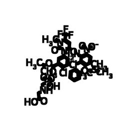 CC(C)OC(=O)c1cc(-n2c(=O)cc(C(F)(F)F)n(C)c2=O)ccc1Cl.C[S+](C)C.Nc1c([N+](=O)[O-])ccc(Oc2ccccc2)c1Cl.O=C(O)CNCP(=O)([O-])O